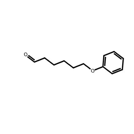 O=CCCCCCOc1ccccc1